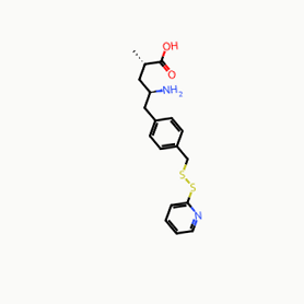 C[C@@H](C[C@@H](N)Cc1ccc(CSSc2ccccn2)cc1)C(=O)O